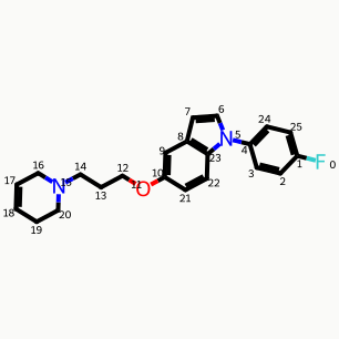 Fc1ccc(-n2ccc3cc(OCCCN4CC=CCC4)ccc32)cc1